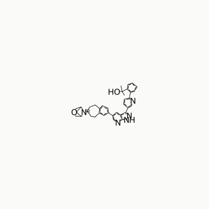 CC(C)(O)c1ccccc1-c1ccc(-c2n[nH]c3ncc(-c4ccc5c(c4)CC[C@@H](N4C6COCC4C6)CC5)cc23)cn1